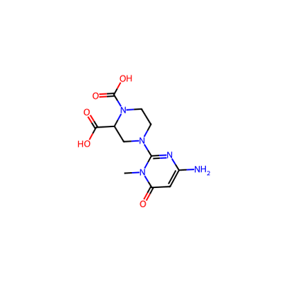 Cn1c(N2CCN(C(=O)O)C(C(=O)O)C2)nc(N)cc1=O